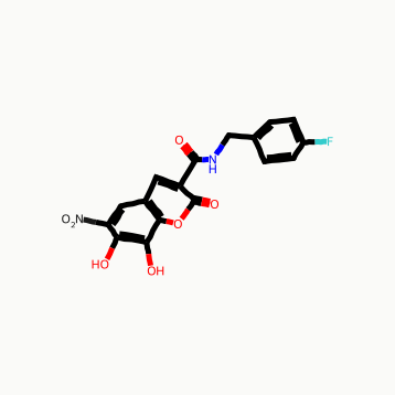 O=C(NCc1ccc(F)cc1)c1cc2cc([N+](=O)[O-])c(O)c(O)c2oc1=O